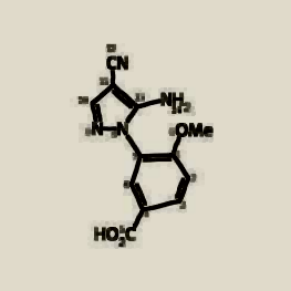 COc1ccc(C(=O)O)cc1-n1ncc(C#N)c1N